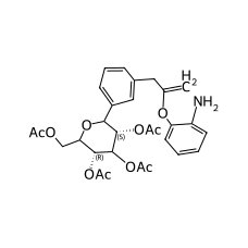 C=C(Cc1cccc(C2OC(COC(C)=O)[C@@H](OC(C)=O)C(OC(C)=O)[C@H]2OC(C)=O)c1)Oc1ccccc1N